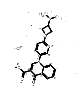 CN(C)C1CN(c2ccc(-n3cc(C(=O)O)c(=O)c4ccccc43)cn2)C1.Cl